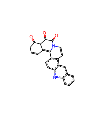 O=C1CC=CC2=C3c4ccc5nc6ccccc6cc5c4C=CN3C(=O)C(=O)C12